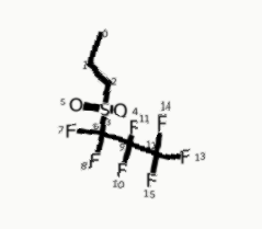 CCCS(=O)(=O)C(F)(F)C(F)(F)C(F)(F)F